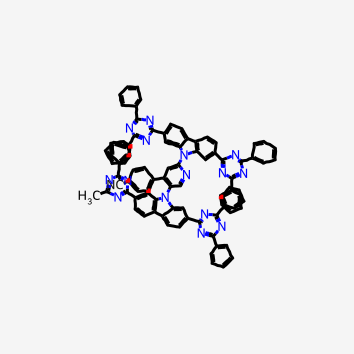 Cc1nc(-c2ccccc2)nc(-c2ccc3c4ccc(-c5nc(-c6ccccc6)nc(-c6ccccc6)n5)cc4n(-c4cnc(-n5c6cc(-c7nc(-c8ccccc8)nc(-c8ccccc8)n7)ccc6c6ccc(-c7nc(-c8ccccc8)nc(-c8ccccc8)n7)cc65)cc4-c4ccc(C#N)cc4)c3c2)n1